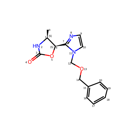 C[C@@H]1NC(=O)O[C@@H]1c1nccn1COCc1ccccc1